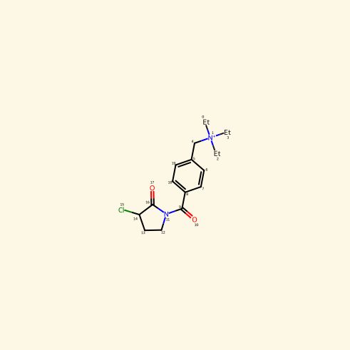 CC[N+](CC)(CC)Cc1ccc(C(=O)N2CCC(Cl)C2=O)cc1